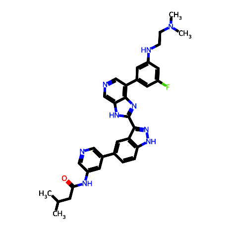 CC(C)CC(=O)Nc1cncc(-c2ccc3[nH]nc(-c4nc5c(-c6cc(F)cc(NCCN(C)C)c6)cncc5[nH]4)c3c2)c1